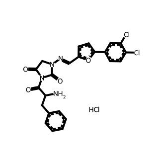 Cl.NC(Cc1ccccc1)C(=O)N1C(=O)CN(N=Cc2ccc(-c3ccc(Cl)c(Cl)c3)o2)C1=O